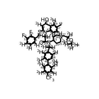 [2H]C1=C(SCc2c([2H])c([2H])c([2H])c(F)c2F)N(C([2H])([2H])C(=O)N(C2CCN(CC([2H])([2H])OC([2H])([2H])[2H])CC2)C([2H])([2H])c2c([2H])c([2H])c(-c3c([2H])c([2H])c(C(F)(F)F)c([2H])c3[2H])c([2H])c2[2H])c2c([2H])c([2H])c(C)c([2H])c2C1O